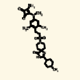 Cc1cc(N(C)c2c(N)c(=O)c2=O)cc(C)c1CCS(=O)(=O)N1CCC2(CC1)N=C(C1CCC(C)CC1)NC2=O